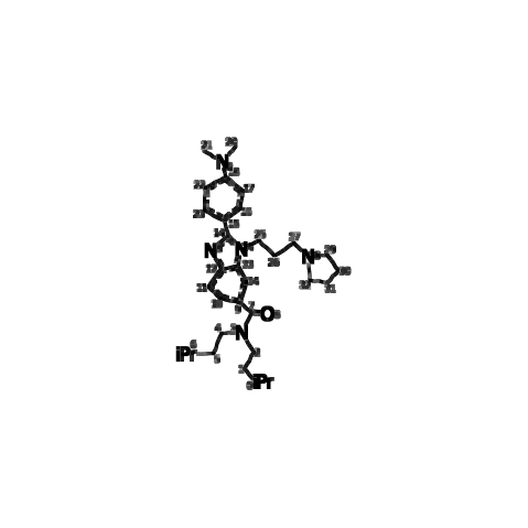 CC(C)CCN(CCC(C)C)C(=O)c1ccc2nc(-c3ccc(N(C)C)cc3)n(CCCN3CCCC3)c2c1